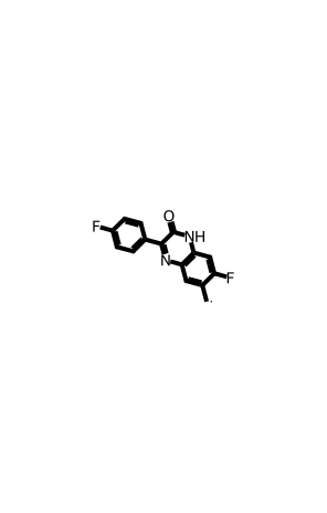 [CH2]c1cc2nc(-c3ccc(F)cc3)c(=O)[nH]c2cc1F